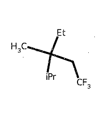 CCC(C)(CC(F)(F)F)C(C)C